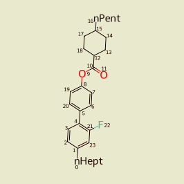 CCCCCCCc1ccc(-c2ccc(OC(=O)C3CCC(CCCCC)CC3)cc2)c(F)c1